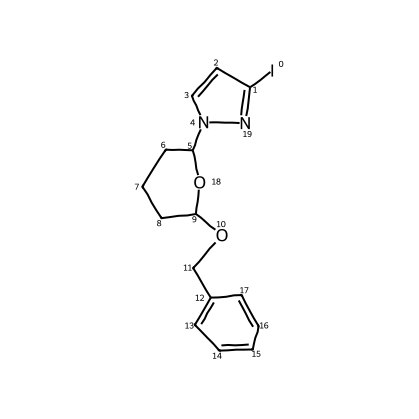 Ic1ccn(C2CCCC(OCc3ccccc3)O2)n1